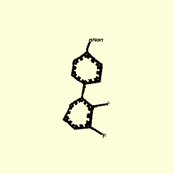 CCCCCCCCCc1ccc(-c2cccc(F)c2F)cc1